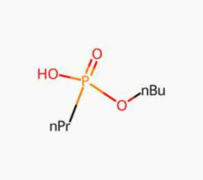 CCCCOP(=O)(O)CCC